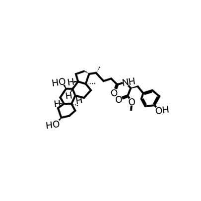 COC(=O)[C@H](Cc1ccc(O)cc1)NC(=O)CC[C@@H](C)[C@H]1CC[C@H]2[C@@H]3[C@H](O)C[C@@H]4C[C@H](O)CC[C@]4(C)[C@H]3CC[C@]12C